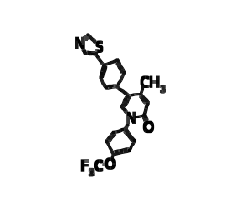 Cc1cc(=O)n(-c2ccc(OC(F)(F)F)cc2)cc1-c1ccc(-c2cncs2)cc1